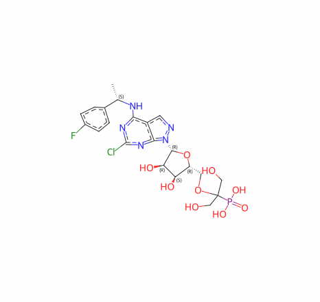 C[C@H](Nc1nc(Cl)nc2c1cnn2[C@@H]1O[C@H](COC(CO)(CO)P(=O)(O)O)[C@@H](O)[C@H]1O)c1ccc(F)cc1